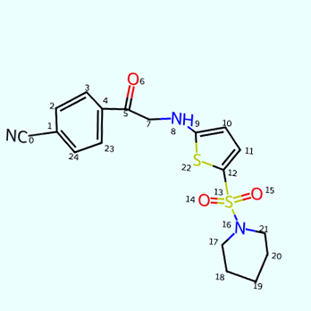 N#Cc1ccc(C(=O)CNc2ccc(S(=O)(=O)N3CCCCC3)s2)cc1